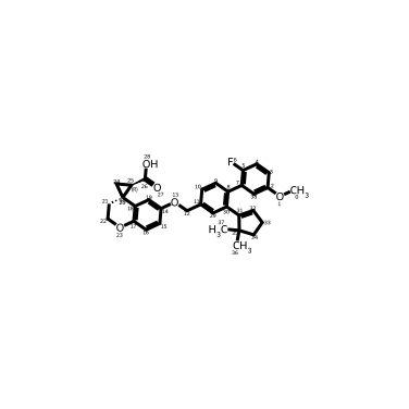 COc1ccc(F)c(-c2ccc(COc3ccc4c(c3)[C@@]3(CCO4)C[C@H]3C(=O)O)cc2C2=CCCC2(C)C)c1